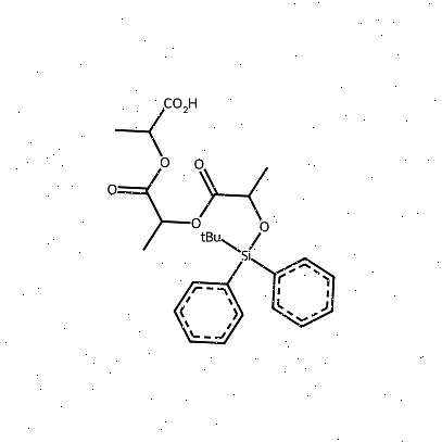 CC(OC(=O)C(C)OC(=O)C(C)O[Si](c1ccccc1)(c1ccccc1)C(C)(C)C)C(=O)O